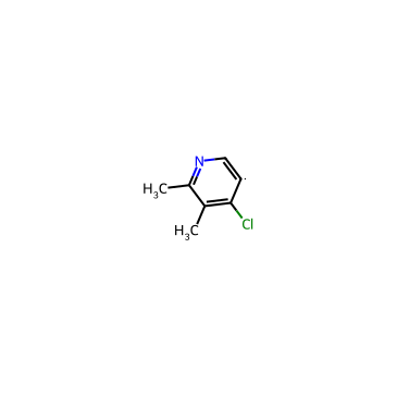 Cc1nc[c]c(Cl)c1C